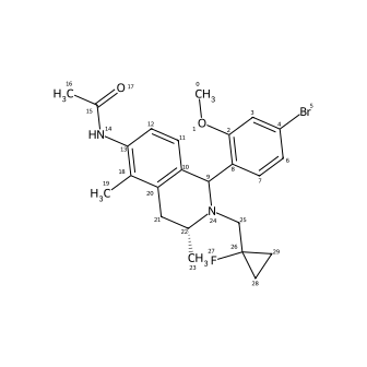 COc1cc(Br)ccc1C1c2ccc(NC(C)=O)c(C)c2C[C@@H](C)N1CC1(F)CC1